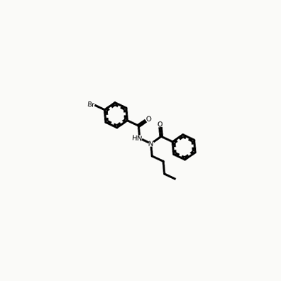 CCCCN(NC(=O)c1ccc(Br)cc1)C(=O)c1ccccc1